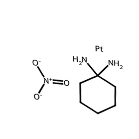 NC1(N)CCCCC1.O=[N+]([O-])[O-].[Pt]